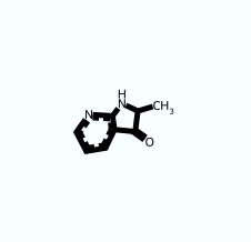 CC1Nc2ncccc2C1=O